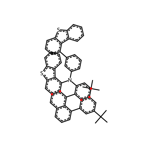 CC(C)(C)c1cc(-c2cccc3cccc(-c4ccccc4N(c4cccc(-c5cccc6sc7ccccc7c56)c4)c4cccc5sc6ccccc6c45)c23)cc(C(C)(C)C)c1